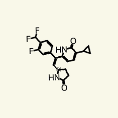 O=C1CC[C@H](C=C(c2ccc(C(F)F)c(F)c2)c2ccc(C3CC3)c(=O)[nH]2)N1